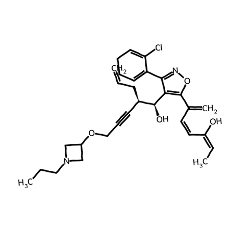 C=CC[C@H](C#CCOC1CN(CCC)C1)[C@H](O)c1c(C2=CCCC=C2Cl)noc1C(=C)/C=C\C(O)=C/C